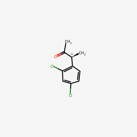 [CH2][C@H](C(C)=O)c1ccc(Cl)cc1Cl